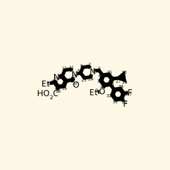 CCOc1cc(CN2CCC(N3CCc4nc(CC)c(C(=O)O)cc4C3=O)CC2)cc(C2CC2)c1-c1ccc(F)c(F)c1